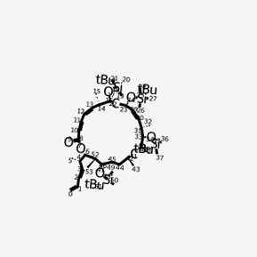 C=CC=C[C@H](C)[C@@H]1OC(=O)C=CC=C[C@H](C)[C@@H](O[Si](C)(C)C(C)(C)C)C[C@H](O[Si](C)(C)C(C)(C)C)C=C[C@H](C)[C@H](O[Si](C)(C)C(C)(C)C)[C@H](C)C[C@@H](C)CC[C@@H](O[Si](C)(C)C(C)(C)C)[C@H]1C